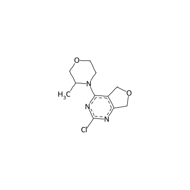 CC1COCCN1c1nc(Cl)nc2c1COC2